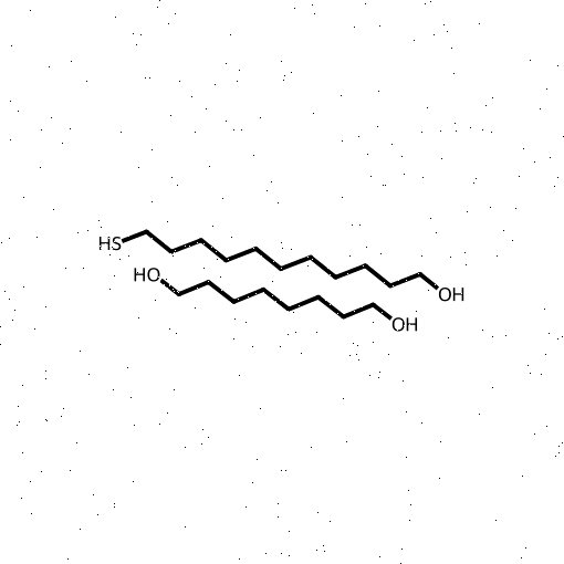 OCCCCCCCCCCCS.OCCCCCCCCO